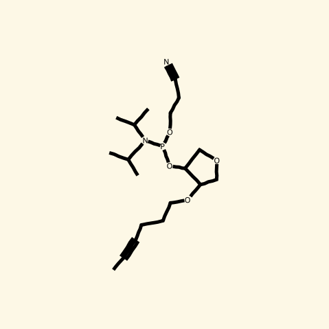 CC#CCCCOC1COCC1OP(OCCC#N)N(C(C)C)C(C)C